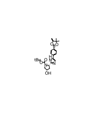 C=C1OB(c2ccc(-c3cnc([C@@H]4C[C@H](O)CN4C(=O)OC(C)(C)C)[nH]3)cc2)OC1(C)C